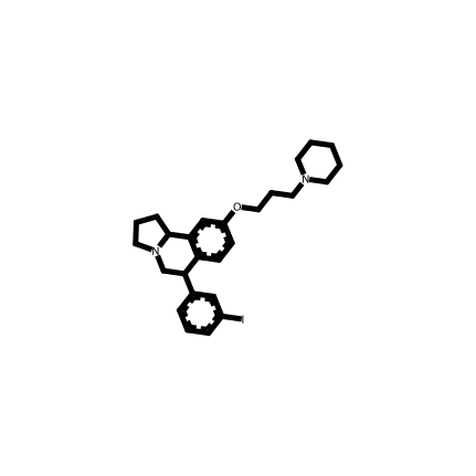 Ic1cccc(C2CN3CCCC3c3cc(OCCCN4CCCCC4)ccc32)c1